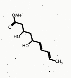 C/C=C/C=C/C(O)CC(O)CC(=O)OC